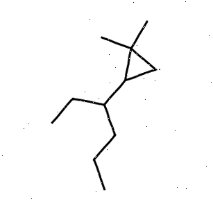 CCCC(CC)C1[CH]C1(C)C